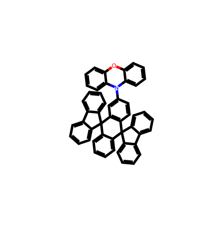 c1ccc2c(c1)Oc1ccccc1N2c1ccc2c(c1)C1(c3ccccc3-c3ccccc31)c1ccccc1C21c2ccccc2-c2ccccc21